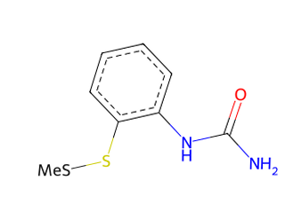 CSSc1ccccc1NC(N)=O